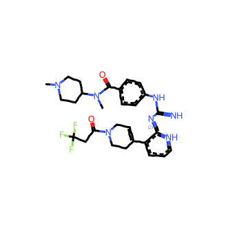 CN1CCC(N(C)C(=O)c2ccc(NC(=N)/N=c3\[nH]cccc3C3=CCN(C(=O)CC(F)(F)F)CC3)cc2)CC1